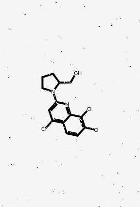 OCC1CCCN1c1cc(Cl)c2ccc(Cl)c(Cl)c2n1